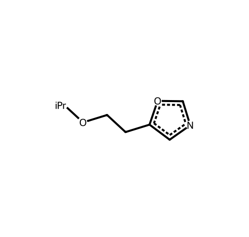 CC(C)OCCc1cnco1